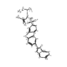 CC(C)[C@H](NS(=O)(=O)c1ccc2c(c1)sc1ccc(-c3cc4ccccc4s3)cc12)C(=O)O